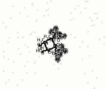 CC1=C(CCC(=O)O)c2cc3nc(cc4[nH]c(cc5[nH]c(cc1n2)c(C)c5C(COC(=O)B([B]C1[B][B][B][B]1)C1[B][B][B][B]1)OC(=O)B([B]C1[B][B][B][B]1)C1[B][B][B][B]1)c(C)c4C(COC(=O)B([B]C1[B][B][B][B]1)C1[B][B][B][B]1)OC(=O)B([B]C1[B][B][B][B]1)C1[B][B][B][B]1)C(C)=C3CCC(=O)O